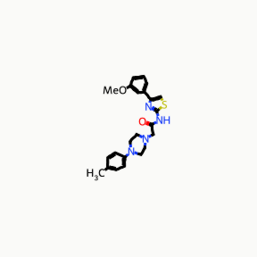 COc1cccc(-c2csc(NC(=O)CN3CCN(c4ccc(C)cc4)CC3)n2)c1